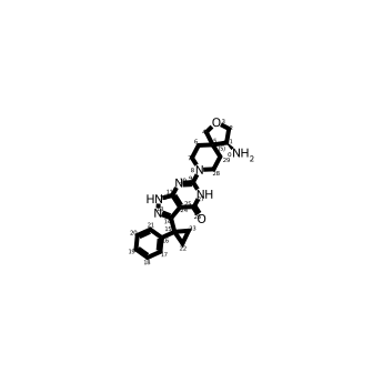 N[C@@H]1COCC12CCN(c1nc3[nH]nc(C4(c5ccccc5)CC4)c3c(=O)[nH]1)CC2